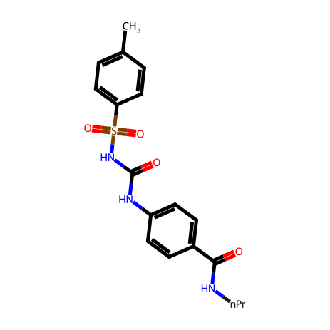 CCCNC(=O)c1ccc(NC(=O)NS(=O)(=O)c2ccc(C)cc2)cc1